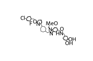 COCCn1c(CC2CCCC(c3cccc(OCc4ccc(Cl)cc4F)n3)CC2)nc2cc(C(=O)NCc3ccc(O)c(O)c3)ccc21